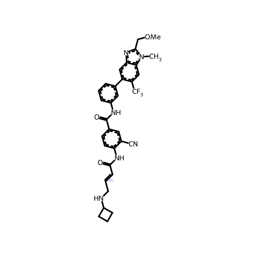 COCc1nc2cc(-c3cccc(NC(=O)c4ccc(NC(=O)/C=C/CNC5CCC5)c(C#N)c4)c3)c(C(F)(F)F)cc2n1C